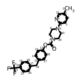 Cc1ccc(N2CCN(C(=O)Oc3ccc(Cc4ccc(C(F)(F)F)cc4)cc3)CC2)nc1